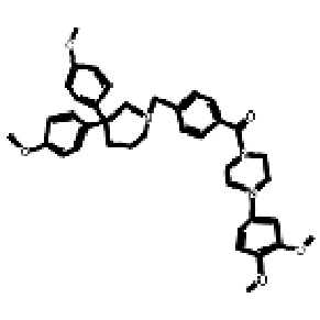 COc1ccc(C2(c3ccc(OC)cc3)CCCN(Cc3ccc(C(=O)N4CCN(c5ccc(OC)c(OC)c5)CC4)cc3)C2)cc1